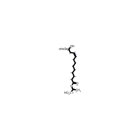 CCCCCC[C@@H](O)C/C=C\CCCCCCCC(=O)OC(C)C(=O)O